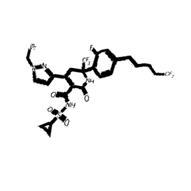 CC(C)Cn1ccc(C2=C(C(=O)NS(=O)(=O)C3CC3)C(=O)NC(c3ccc(CCCCC(F)(F)F)cc3F)(C(F)(F)F)C2)n1